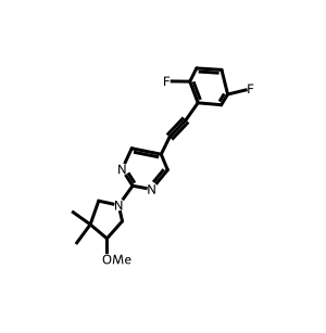 COC1CN(c2ncc(C#Cc3cc(F)ccc3F)cn2)CC1(C)C